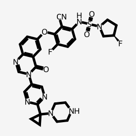 N#Cc1c(NS(=O)(=O)N2CC[C@@H](F)C2)ccc(F)c1Oc1ccc2ncn(-c3cnc(C4(N5CCNCC5)CC4)nc3)c(=O)c2c1